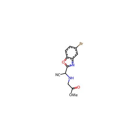 COC(=O)CNC(C#N)c1nc2cc(Br)ccc2o1